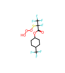 O=C(OC1CCC(C(F)(F)F)CC1)C(F)(SOOO)C(F)(F)F